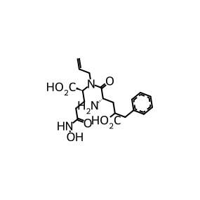 C=CCN(C(=O)[C@@H](N)CC(Cc1ccccc1)C(=O)O)[C@@H](CCC(=O)NO)C(=O)O